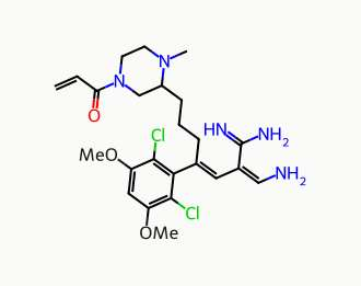 C=CC(=O)N1CCN(C)C(CCC/C(=C\C(=C\N)C(=N)N)c2c(Cl)c(OC)cc(OC)c2Cl)C1